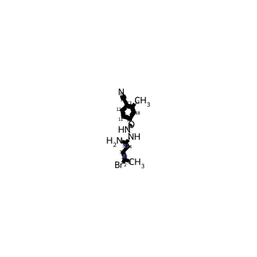 C/C(Br)=C\C=C(/N)NNOc1ccc(C#N)c(C)c1